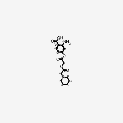 Nc1cc(OC(=O)COC(=O)CN2CCCCC2)ccc1C(=O)O